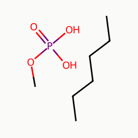 CCCCCC.COP(=O)(O)O